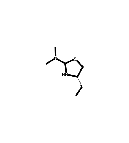 CC[C@H]1CSC(N(C)C)N1